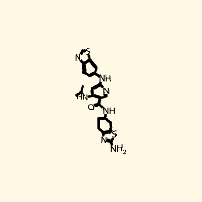 CC(C)Nc1cc(Nc2ccc3ncsc3c2)ncc1C(=O)NC1CCc2nc(N)sc2C1